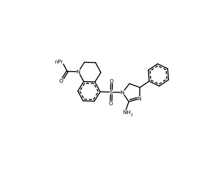 CCCC(=O)N1CCCc2c1cccc2S(=O)(=O)N1CC(c2ccccc2)N=C1N